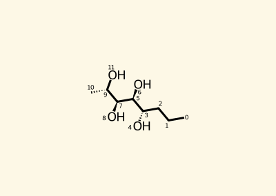 CCC[C@H](O)[C@H](O)[C@@H](O)[C@H](C)O